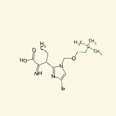 CCC(C(=N)C(=O)O)c1nc(Br)cn1COCC[Si](C)(C)C